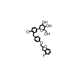 OC[C@H]1O[C@@H](c2ccc(Cl)c(Cc3ccc(OCC4Cc5c(F)cccc5O4)cc3)c2)C[C@@H](O)[C@@H]1O